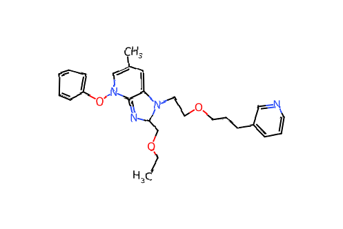 CCOCC1N=C2C(=CC(C)=CN2Oc2ccccc2)N1CCOCCCc1cccnc1